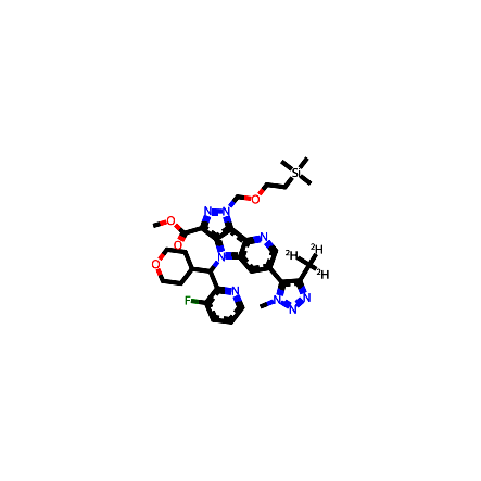 [2H]C([2H])([2H])c1nnn(C)c1-c1cnc2c3c(c(C(=O)OC)nn3COCC[Si](C)(C)C)n(C(c3ncccc3F)C3CCOCC3)c2c1